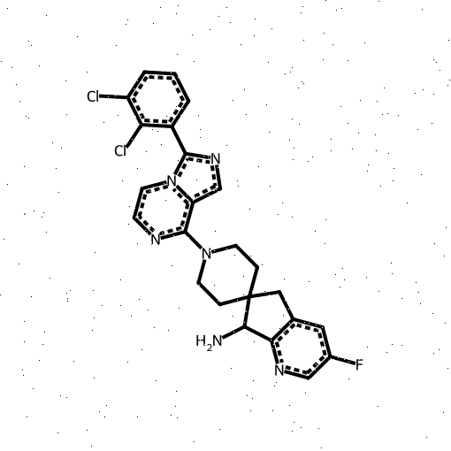 NC1c2ncc(F)cc2CC12CCN(c1nccn3c(-c4cccc(Cl)c4Cl)ncc13)CC2